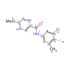 COc1cnc(C(=O)Nc2cc(C)c(F)c(Cl)c2)cn1